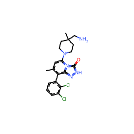 Cc1cc(N2CCC(C)(CN)CC2)n2c(=O)[nH]nc2c1-c1cccc(Cl)c1Cl